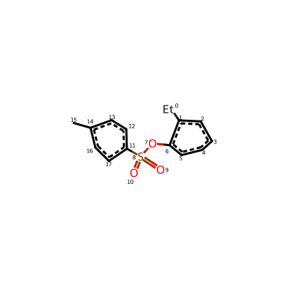 CCc1ccccc1OS(=O)(=O)c1ccc(C)cc1